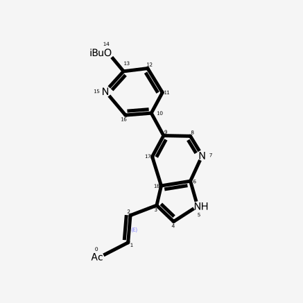 CC(=O)/C=C/c1c[nH]c2ncc(-c3ccc(OCC(C)C)nc3)cc12